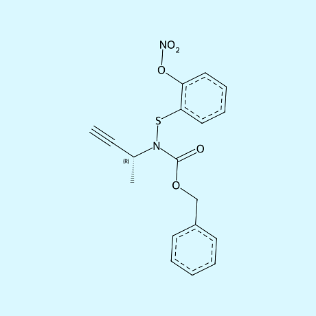 C#C[C@@H](C)N(Sc1ccccc1O[N+](=O)[O-])C(=O)OCc1ccccc1